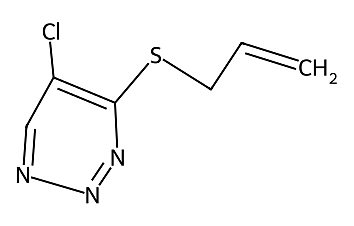 C=CCSc1nnncc1Cl